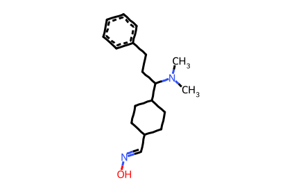 CN(C)C(CCc1ccccc1)C1CCC(C=NO)CC1